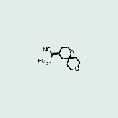 N#CC(C(=O)O)=C1CCOC2(CCOCC2)C1